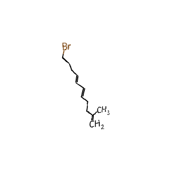 C=C(C)CCC=CC=CCCCBr